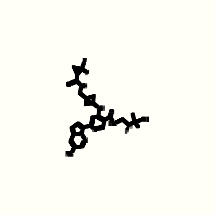 CC(C)(O)[C@H](F)CNC(=O)c1cnc(-c2ccc3cc(C#N)cnn23)cc1NC12CC(CNC(=O)C3CC3(F)F)(C1)C2